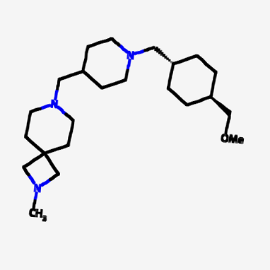 COC[C@H]1CC[C@H](CN2CCC(CN3CCC4(CC3)CN(C)C4)CC2)CC1